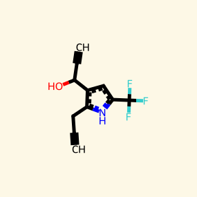 C#CCc1[nH]c(C(F)(F)F)cc1C(O)C#C